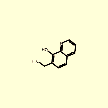 CCc1ccc2cccnc2c1O